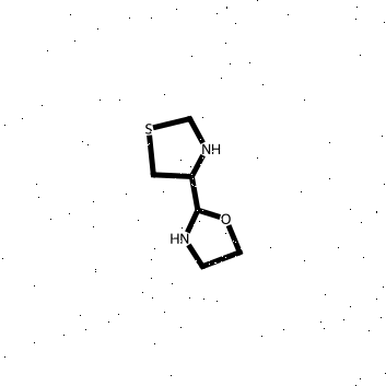 C1COC(C2CSCN2)N1